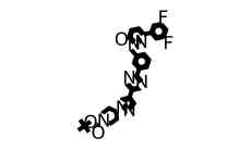 CC(C)(C)OC(=O)N1CCC(n2cc(-c3cnc(-c4cccc(Cn5nc(-c6cc(F)cc(F)c6)ccc5=O)c4)nc3)cn2)CC1